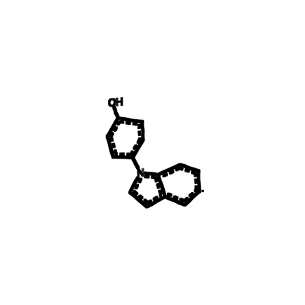 Oc1ccc(-n2ccc3c[c]ccc32)cc1